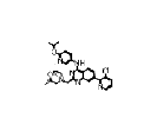 CC(C)Oc1ccc(Nc2nc(CN3C[C@@H](C)O[C@H](C)C3)nc3cc(-c4ncccc4Cl)ccc23)cn1